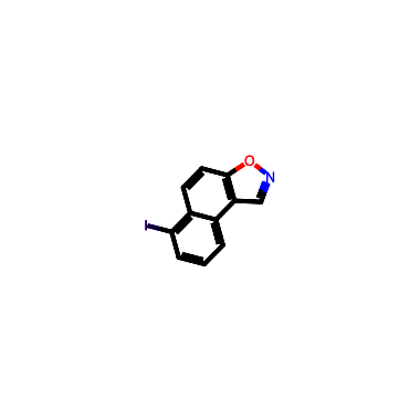 Ic1cccc2c1ccc1oncc12